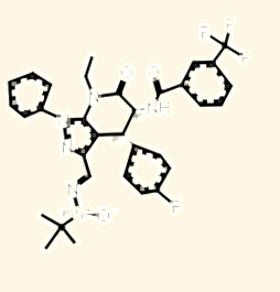 CCN1C(=O)[C@H](NC(=O)c2cccc(C(F)(F)F)c2)[C@H](c2ccc(F)cc2)c2c(C=N[S@@+]([O-])C(C)(C)C)nn(-c3ccccc3)c21